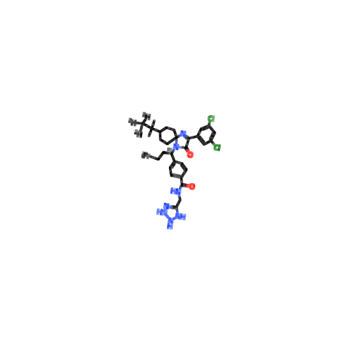 [2H]C([2H])([2H])C(C)(C)C1CCC2(CC1)N=C(c1cc(Cl)cc(Cl)c1)C(=O)N2[C@H](CCC(C)C)c1ccc(C(=O)NCC2=NNNN2)cc1